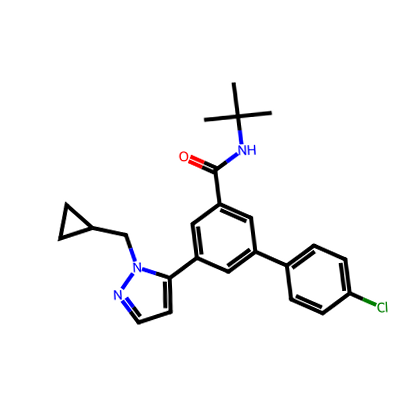 CC(C)(C)NC(=O)c1cc(-c2ccc(Cl)cc2)cc(-c2ccnn2CC2CC2)c1